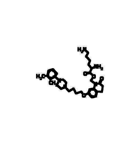 Cc1cccc(N2CCN(CCCCOc3ccc4c(c3)N(COC(=O)C(N)CCCCN)C(=O)CC4)CC2)c1C